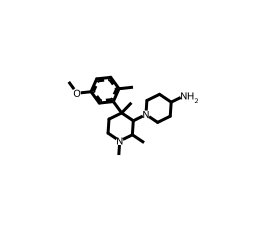 COc1ccc(C)c(C2(C)CCN(C)C(C)C2N2CCC(N)CC2)c1